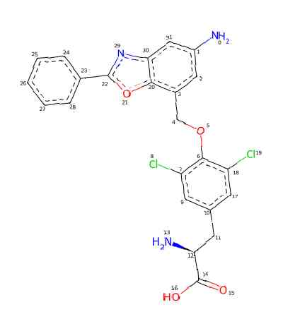 Nc1cc(COc2c(Cl)cc(C[C@H](N)C(=O)O)cc2Cl)c2oc(-c3ccccc3)nc2c1